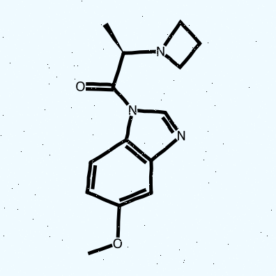 COc1ccc2c(c1)ncn2C(=O)[C@@H](C)N1CCC1